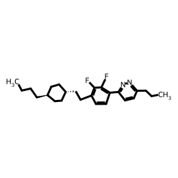 CCCC[C@H]1CC[C@H](CCc2ccc(-c3ccc(CCC)nn3)c(F)c2F)CC1